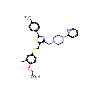 Cc1cc(SCc2sc(-c3ccc(C(F)(F)F)cc3)nc2CN2CCN(c3ccccn3)CC2)ccc1OCC(=O)O